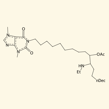 CCCCCCCCCCCCC(NCC)C(CCCCCCCCCn1c(=O)c2c(ncn2C)n(C)c1=O)OC(C)=O